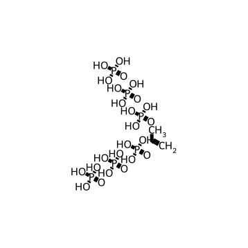 C=CC.O=P(O)(O)O.O=P(O)(O)O.O=P(O)(O)O.O=P(O)(O)O.O=P(O)(O)O.O=P(O)(O)O